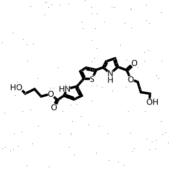 O=C(OCCCO)c1ccc(-c2ccc(-c3ccc(C(=O)OCCCO)[nH]3)s2)[nH]1